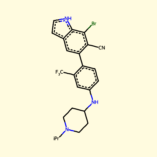 CC(C)N1CCC(Nc2ccc(-c3cc4cc[nH]c4c(Br)c3C#N)c(C(F)(F)F)c2)CC1